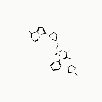 C[C@H](NP(=O)(OC[C@H]1O[C@@H](c2ccc3c(N)ncnn23)[C@H](O)[C@@H]1O)Oc1ccccc1)C(=O)O[C@H]1CCN(C)C1